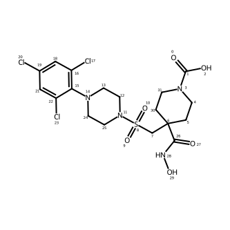 O=C(O)N1CCC(CS(=O)(=O)N2CCN(c3c(Cl)cc(Cl)cc3Cl)CC2)(C(=O)NO)CC1